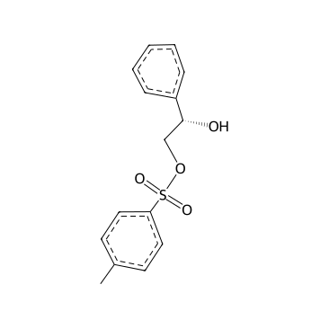 Cc1ccc(S(=O)(=O)OC[C@@H](O)c2ccccc2)cc1